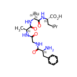 CC[C@H](C)[C@H](NC(=O)[C@H](C)NC(=O)CNC(=O)[C@@H](N)Cc1ccccc1)C(=O)N[C@@H](CC(C)C)C(=O)O